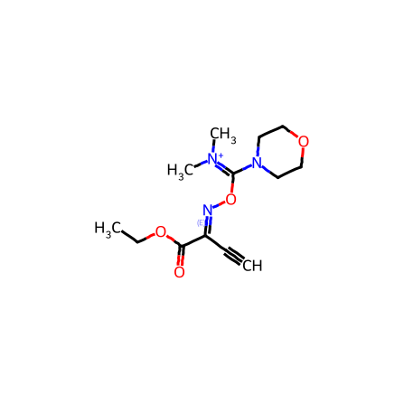 C#C/C(=N\OC(N1CCOCC1)=[N+](C)C)C(=O)OCC